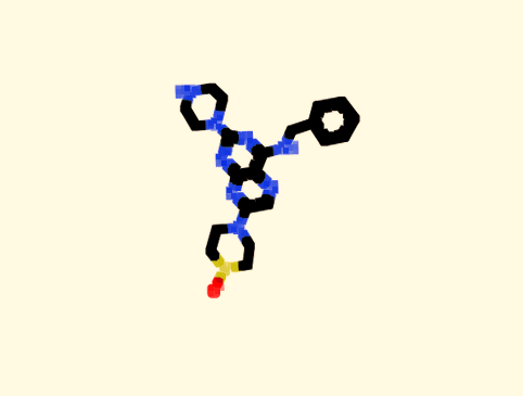 [O-][S+]1CCN(c2cnc3c(NCc4ccccc4)nc(N4CCNCC4)nc3n2)CC1